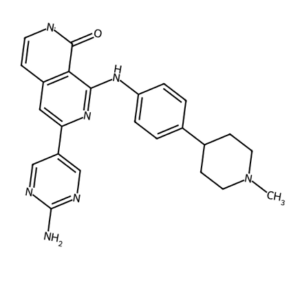 CN1CCC(c2ccc(Nc3nc(-c4cnc(N)nc4)cc4c3C(=O)[N]C=C4)cc2)CC1